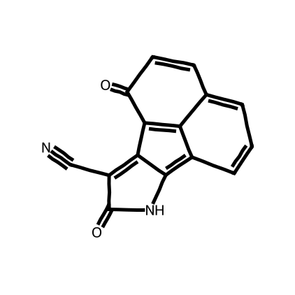 N#CC1=c2c(c3cccc4ccc(=O)c2=c43)NC1=O